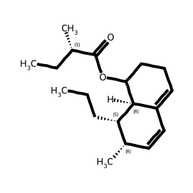 CCC[C@@H]1[C@@H]2C(=CCCC2OC(=O)[C@@H](C)CC)C=C[C@@H]1C